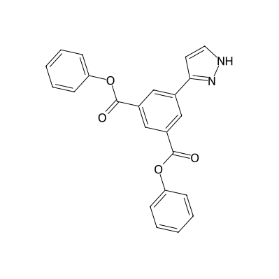 O=C(Oc1ccccc1)c1cc(C(=O)Oc2ccccc2)cc(-c2cc[nH]n2)c1